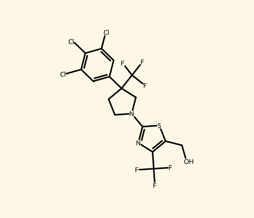 OCc1sc(N2CCC(c3cc(Cl)c(Cl)c(Cl)c3)(C(F)(F)F)C2)nc1C(F)(F)F